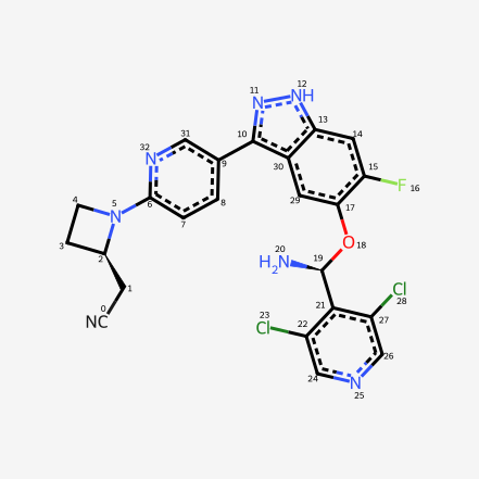 N#CC[C@H]1CCN1c1ccc(-c2n[nH]c3cc(F)c(O[C@H](N)c4c(Cl)cncc4Cl)cc23)cn1